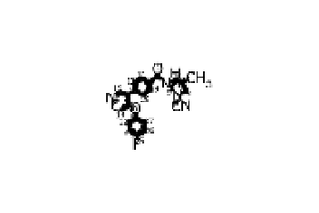 CC1CN(C#N)C2[C@@H]1N2C(=O)c1ccc(-c2cnccc2Oc2ccc(F)cc2)cc1